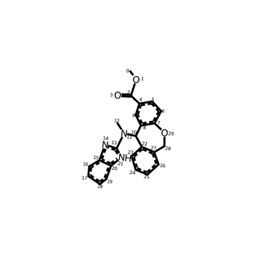 COC(=O)c1ccc2c(c1)C(N(C)c1nc3ccccc3[nH]1)c1ccccc1CO2